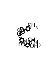 Cc1cccc([C@@H]2CCO[P@](=O)(COc3cc(I)c(Oc4ccc(O)c(C(C)C)c4)c(I)c3)O2)c1